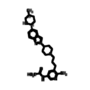 C[C@H]1CC[C@H](c2ccc3nn(C4CCN(CCCc5cc(NC(=O)C(=O)O)cnc5N)CC4)cc3c2)NC1